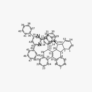 C1=CC2C3c4ccccc4C4=C(C(c5ccccc5)Cc5ccccc54)C3[C@@H](c3cccc(-c4nc(-c5ccccc5)cc(-c5ccccc5)n4)c3)C2C=C1